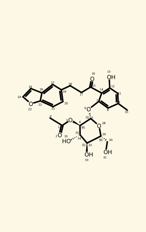 CC(=O)O[C@H]1[C@H](Oc2cc(C)cc(O)c2C(=O)CCc2ccc3occc3c2)O[C@H](CO)[C@@H](O)[C@@H]1O